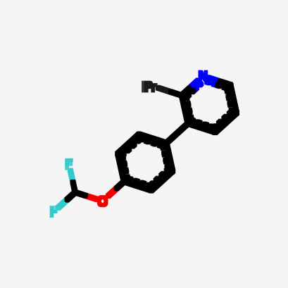 CC(C)c1ncccc1-c1ccc(OC(F)F)cc1